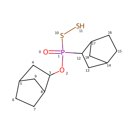 O=P(OC1CC2CCC1C2)(SS)C1CC2CCC1C2